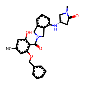 CN1C[C@@H](Nc2cccc3c2CN(C(=O)c2c(O)cc(C#N)cc2OCc2ccccc2)C3)CC1=O